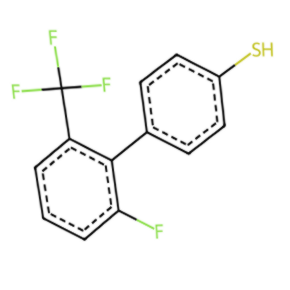 Fc1cccc(C(F)(F)F)c1-c1ccc(S)cc1